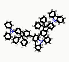 c1ccc(N(c2ccccc2)c2ccc3c(c2)C(c2ccccc2)(c2ccccc2)c2cc(-c4cc(-c5ccc6c(c5)C(c5ccccc5)(c5ccccc5)c5cc(-n7c8ccccc8c8ccccc87)ccc5-6)c5c(c4)c4ccccc4n5-c4ccccc4)ccc2-3)cc1